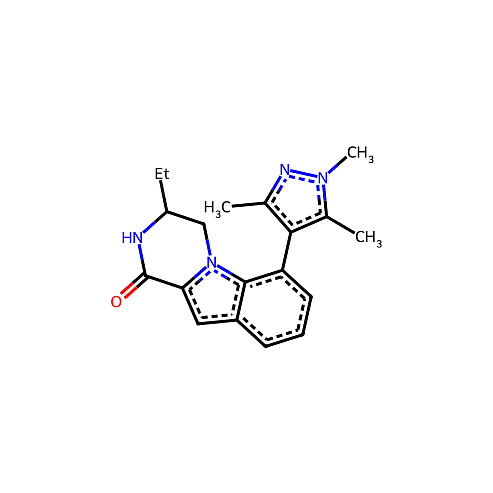 CCC1Cn2c(cc3cccc(-c4c(C)nn(C)c4C)c32)C(=O)N1